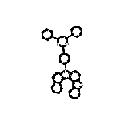 c1ccc(-c2cc(-c3ccccc3)nc(-c3ccc(-n4c5ccc6ccccc6c5c5c6c(ccc54)sc4ccccc46)cc3)n2)cc1